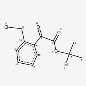 CCC(C)(C)OC(=O)C(=O)c1ccccc1CCl